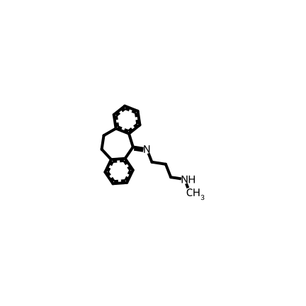 CNCCCN=C1c2ccccc2CCc2ccccc21